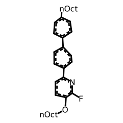 CCCCCCCCOc1ccc(-c2ccc(-c3ccc(CCCCCCCC)cc3)cc2)nc1F